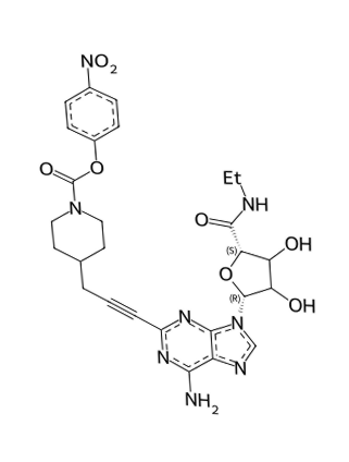 CCNC(=O)[C@H]1O[C@@H](n2cnc3c(N)nc(C#CCC4CCN(C(=O)Oc5ccc([N+](=O)[O-])cc5)CC4)nc32)C(O)C1O